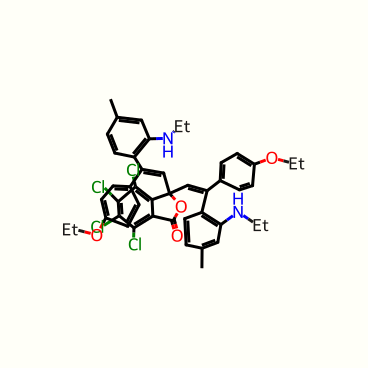 CCNc1cc(C)ccc1C(=CC1(C=C(c2ccc(OCC)cc2)c2ccc(C)cc2NCC)OC(=O)c2c(Cl)c(Cl)c(Cl)c(Cl)c21)c1ccc(OCC)cc1